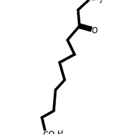 NCC(=O)CCCCCCCC(=O)O